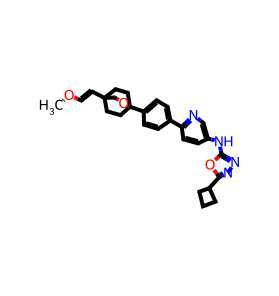 CO/C=C/C12CCC(c3ccc(-c4ccc(Nc5nnc(C6CCC6)o5)cn4)cc3)(CC1)OC2